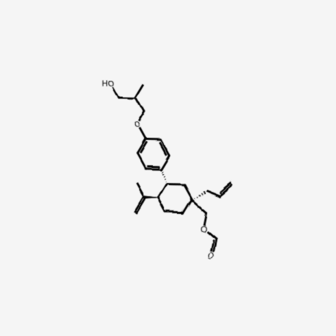 C=CC[C@]1(COC=O)CC[C@@H](C(=C)C)[C@H](c2ccc(OCC(C)CO)cc2)C1